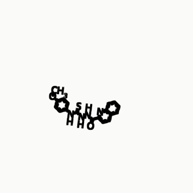 COc1ccc(NC(=S)NNC(=O)c2ccc3ccccc3n2)cc1